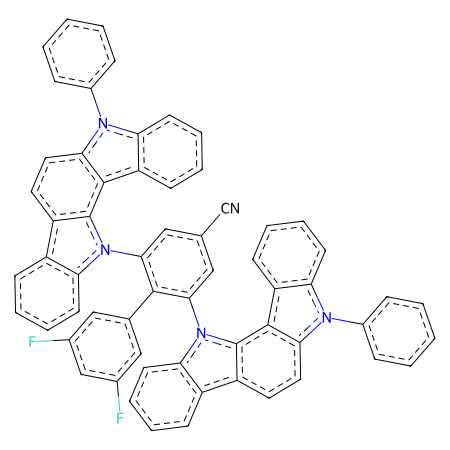 N#Cc1cc(-n2c3ccccc3c3ccc4c(c5ccccc5n4-c4ccccc4)c32)c(-c2cc(F)cc(F)c2)c(-n2c3ccccc3c3ccc4c(c5ccccc5n4-c4ccccc4)c32)c1